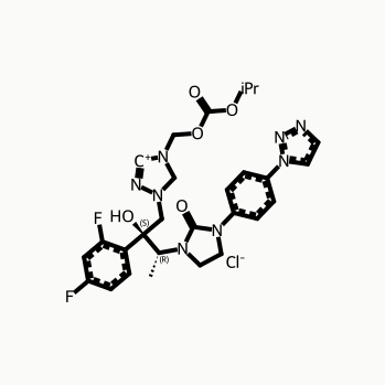 CC(C)OC(=O)OCN1[C+]=NN(C[C@@](O)(c2ccc(F)cc2F)[C@@H](C)N2CCN(c3ccc(-n4ccnn4)cc3)C2=O)C1.[Cl-]